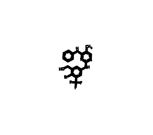 Cc1cnc(Nc2cc(CO)c(Br)c(C(F)(F)F)c2)nc1Nc1ccccc1